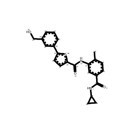 Cc1ccc(C(=O)NC2CC2)cc1NC(=O)c1ccc(-c2cccc(CO)c2)s1